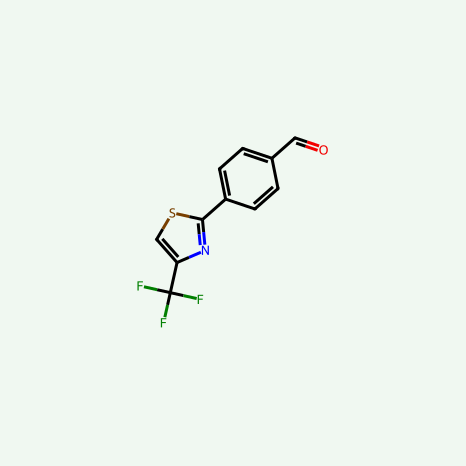 O=Cc1ccc(-c2nc(C(F)(F)F)cs2)cc1